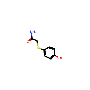 NC(=O)CSc1ccc(O)cc1